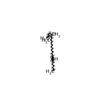 C=C(CCCCCCCCCOBOCCCCCC)CN1C(=C)CCC1=C